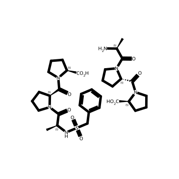 C[C@H](N)C(=O)N1CCC[C@H]1C(=O)N1CCC[C@H]1C(=O)O.C[C@H](NS(=O)(=O)Cc1ccccc1)C(=O)N1CCC[C@H]1C(=O)N1CCC[C@H]1C(=O)O